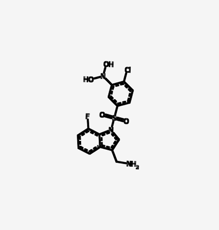 NCc1cn(S(=O)(=O)c2ccc(Cl)c(N(O)O)c2)c2c(F)cccc12